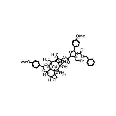 COc1ccc(C2O[C@H]3C[C@H]4OC[C@@]4(C)[C@H]4[C@H](C)[C@]5(O)C[C@H](OC(=O)C6OC(c7ccc(OC)cc7)N(C(=O)OCc7ccccc7)[C@H]6CC(C)C)C(C)=C([C@H](C)[C@H](O2)[C@]34C)C5(C)C)cc1